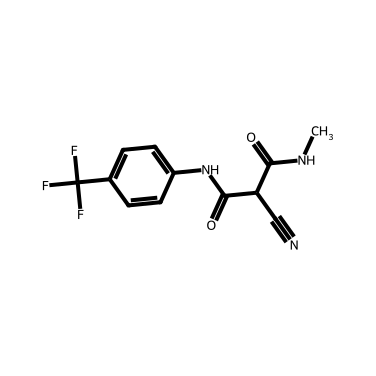 CNC(=O)C(C#N)C(=O)Nc1ccc(C(F)(F)F)cc1